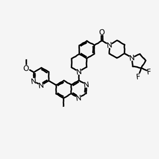 COc1ccc(-c2cc(C)c3ncnc(N4CCc5ccc(C(=O)N6CCC(N7CCC(F)(F)C7)CC6)cc5C4)c3c2)nn1